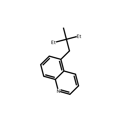 CCC(C)(CC)Cc1cccc2ncccc12